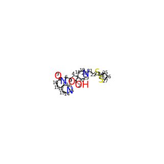 O=C(O)C1(CCCn2c(=O)ccc3ccncc32)CCN(CCSc2cccs2)CC1